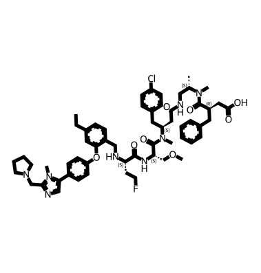 CCc1ccc(CN[C@@H](CCF)C(=O)N[C@@H](COC)C(=O)N(C)[C@H](CC(=O)NC[C@H](C)N(C)C(=O)[C@@H](CC(=O)O)Cc2ccccc2)Cc2ccc(Cl)cc2)c(Oc2ccc(-c3cnc(CN4CCCC4)n3C)cc2)c1